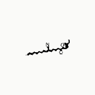 [CH2]CCCCCCCCC(C#N)CCCCC(=O)[C]1OC2CCC1CC2CC